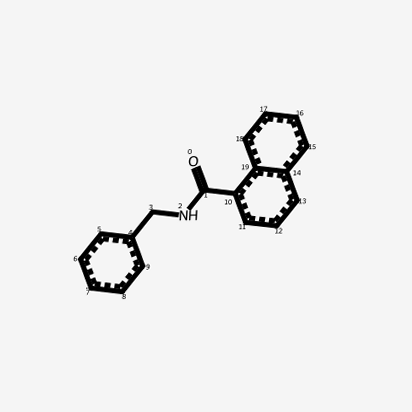 O=C(NCc1cc[c]cc1)c1cccc2ccccc12